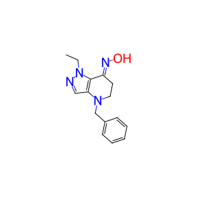 CCn1ncc2c1C(=NO)CCN2Cc1ccccc1